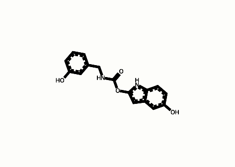 O=C(NCc1cccc(O)c1)Oc1cc2cc(O)ccc2[nH]1